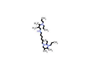 CCCN(CCC)C(C)C(C)CNCCCCCCNCC(C)C(C)N(CCC)CCC